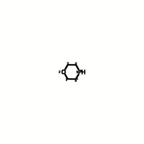 [CH]1COCCP1